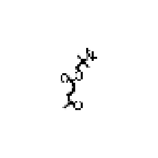 CC(=O)/C=C/C(=O)OCC(C)(C)N(C)C